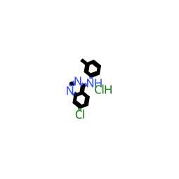 Cc1cccc(Nc2ncnc3cc(Cl)ccc23)c1.Cl